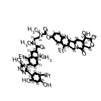 CCc1c2c(nc3ccc(OC(=O)N(C)CCN(C)C(=O)c4cc5c(CC)c(-n6c(O)nnc6-c6cc(C(C)C)c(O)cc6O)ccc5n4C)cc13)-c1cc3c(c(=O)n1C2)COC(=O)C3O